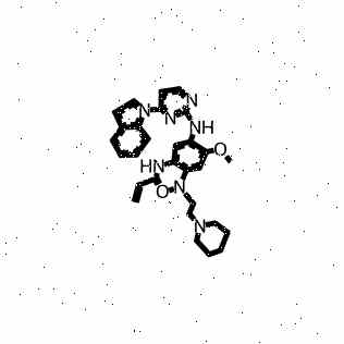 C=CC(=O)Nc1cc(Nc2nccc(-n3ccc4ccccc43)n2)c(OC)cc1N(C)CCN1CCCCC1